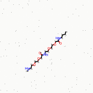 CCCCNC(=O)COCCOCCNC(=O)COCCOCCNC